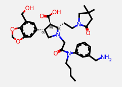 CCCCN(C(=O)CN1C[C@H](c2cc(CO)c3c(c2)OCO3)[C@@H](C(=O)O)[C@@H]1CCN1CC(C)(C)CC1=O)c1cccc(CN)c1